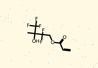 C=CC(=O)OCC(F)(F)C(C)(O)C(F)(F)F